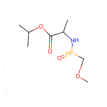 COC[PH](=O)NC(C)C(=O)OC(C)C